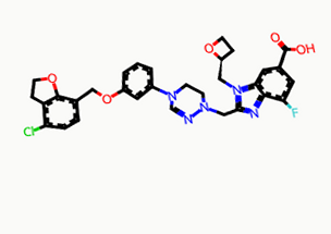 O=C(O)c1cc(F)c2nc(CN3CCN(c4cccc(OCc5ccc(Cl)c6c5OCC6)c4)C=N3)n(C[C@@H]3CCO3)c2c1